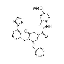 COc1ccc2[nH]c(C(=O)N3CC(=O)N(Cc4cccc(-n5cccn5)c4)[C@@H](Cc4ccccc4)C3)cc2c1